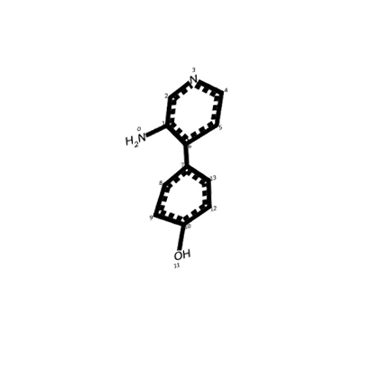 Nc1cnccc1-c1ccc(O)cc1